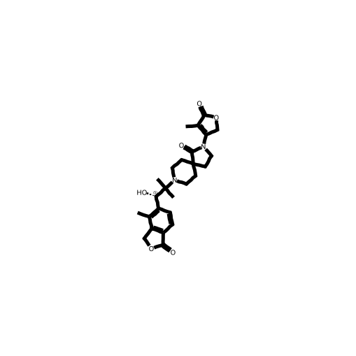 CC1=C(N2CCC3(CCN(C(C)(C)[C@@H](O)c4ccc5c(c4C)COC5=O)CC3)C2=O)COC1=O